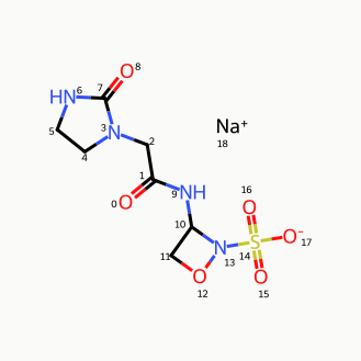 O=C(CN1CCNC1=O)NC1CON1S(=O)(=O)[O-].[Na+]